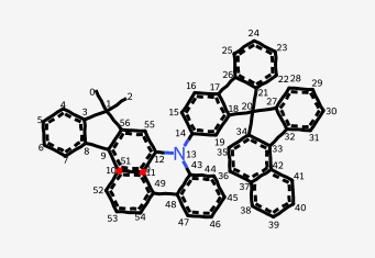 CC1(C)c2ccccc2-c2ccc(N(c3ccc4c(c3)C3(c5ccccc5-4)c4ccccc4-c4c3ccc3ccccc43)c3ccccc3-c3ccccc3)cc21